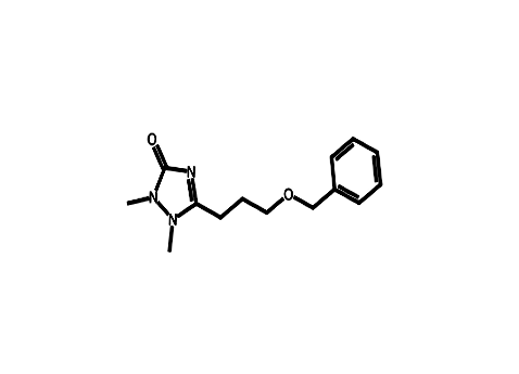 Cn1c(CCCOCc2ccccc2)nc(=O)n1C